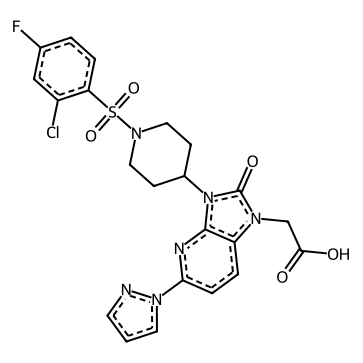 O=C(O)Cn1c(=O)n(C2CCN(S(=O)(=O)c3ccc(F)cc3Cl)CC2)c2nc(-n3cccn3)ccc21